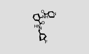 O=C(Nc1ccccc1C(=O)NN=Cc1ccc(F)cc1)c1ccncc1